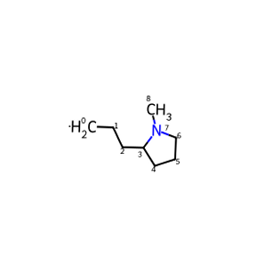 [CH2]CCC1CCCN1C